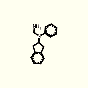 NCN(c1ccccc1)C1Cc2ccccc2C1